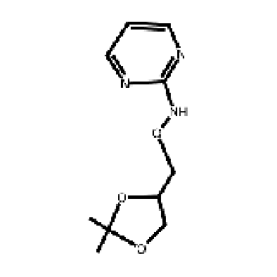 CC1(C)OCC(CONc2ncccn2)O1